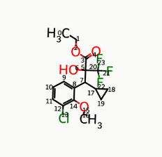 CCOC(=O)C(O)(C(c1cccc(Cl)c1OC)C1CC1)C(F)(F)F